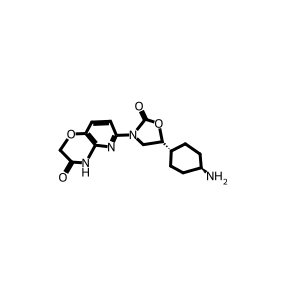 N[C@H]1CC[C@H](C2CN(c3ccc4c(n3)NC(=O)CO4)C(=O)O2)CC1